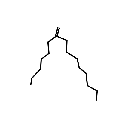 [CH]=C(CCCCCC)CCCCCCCC